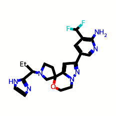 CCC(c1ncc[nH]1)N1CCC2(C1)OCCn1nc(-c3cnc(N)c(C(F)F)c3)cc12